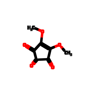 COc1c(OC)c(=O)c(=O)c1=O